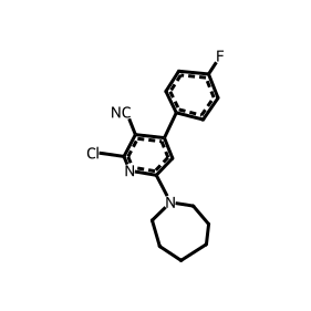 N#Cc1c(-c2ccc(F)cc2)cc(N2CCCCCC2)nc1Cl